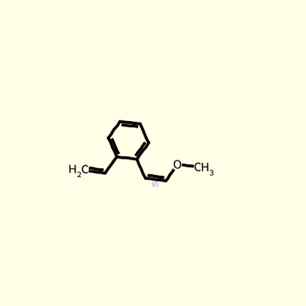 C=Cc1ccccc1/C=C\OC